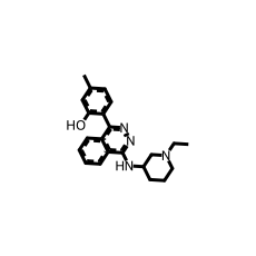 CCN1CCCC(Nc2nnc(-c3ccc(C)cc3O)c3ccccc23)C1